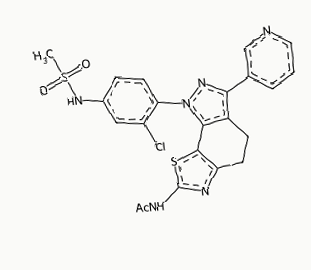 CC(=O)Nc1nc2c(s1)-c1c(c(-c3cccnc3)nn1-c1ccc(NS(C)(=O)=O)cc1Cl)CC2